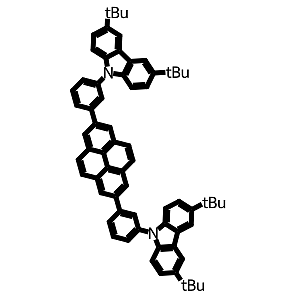 CC(C)(C)c1ccc2c(c1)c1cc(C(C)(C)C)ccc1n2-c1cccc(-c2cc3ccc4cc(-c5cccc(-n6c7ccc(C(C)(C)C)cc7c7cc(C(C)(C)C)ccc76)c5)cc5ccc(c2)c3c45)c1